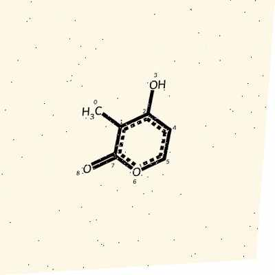 Cc1c(O)ccoc1=O